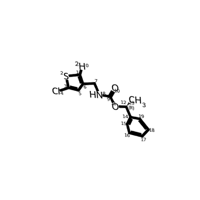 [2H]c1sc(Cl)cc1CNC(=O)O[C@H](C)c1ccccc1